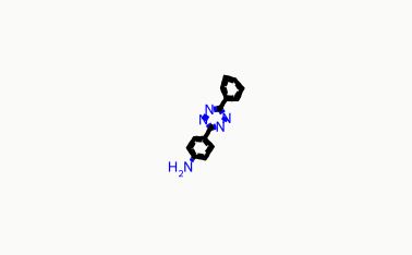 Nc1ccc(-c2nnc(-c3ccccc3)nn2)cc1